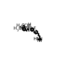 COc1ccc2cnc(Nc3ccc(N4CCC(CCCc5nnn[nH]5)CC4)c(F)c3)nc2c1C(C)C